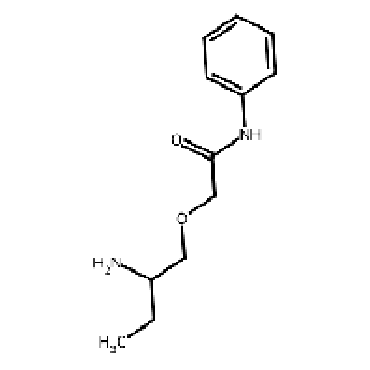 CCC(N)COCC(=O)Nc1ccccc1